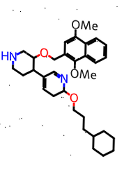 COc1cc(COC2CNCCC2C2=CCC(OCCCC3CCCCC3)N=C2)c(OC)c2ccccc12